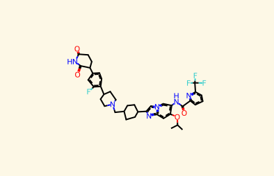 CC(C)Oc1cc2nc(C3CCC(CN4CCC(c5ccc(C6CCC(=O)NC6=O)cc5F)CC4)CC3)cn2cc1NC(=O)c1cccc(C(F)(F)F)n1